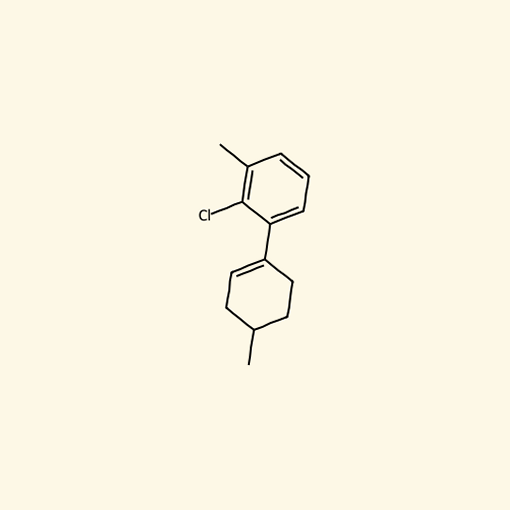 Cc1cccc(C2=CCC(C)CC2)c1Cl